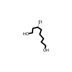 CC[C@@H](CCO)CCCCCO